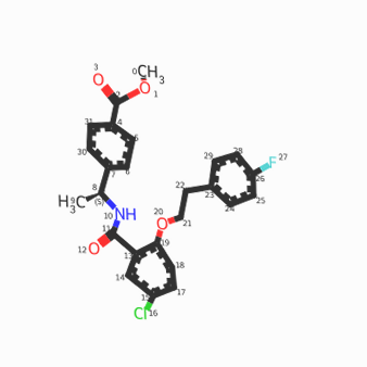 COC(=O)c1ccc([C@H](C)NC(=O)c2cc(Cl)ccc2OCCc2ccc(F)cc2)cc1